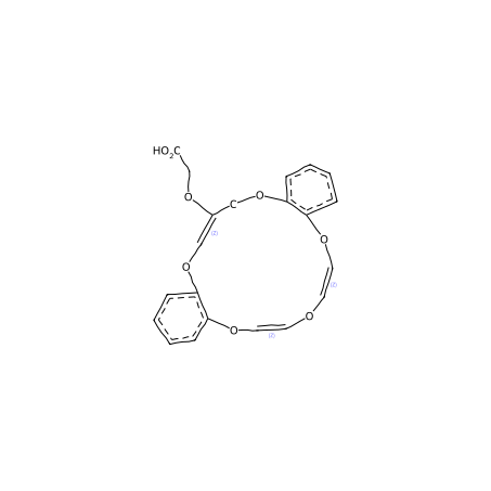 O=C(O)CO/C1=C\Oc2ccccc2O/C=C\O/C=C\Oc2ccccc2OC1